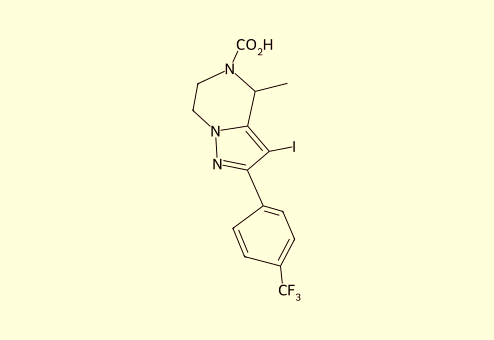 CC1c2c(I)c(-c3ccc(C(F)(F)F)cc3)nn2CCN1C(=O)O